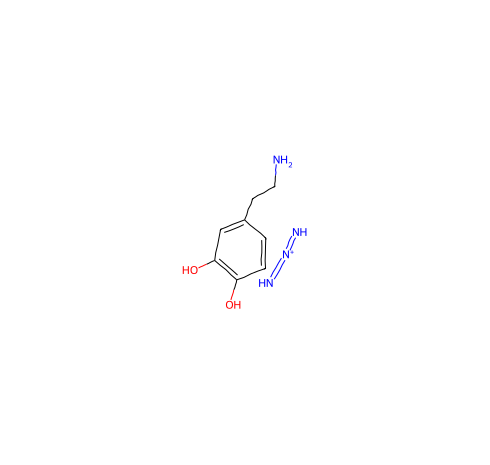 N=[N+]=N.NCCc1ccc(O)c(O)c1